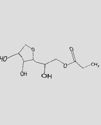 CCC(=O)OCC(O)C1OCC(O)C1O